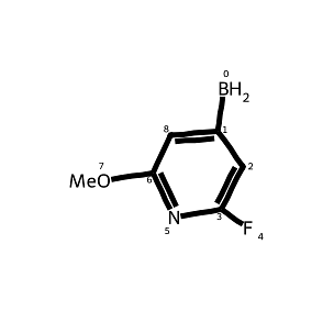 Bc1cc(F)nc(OC)c1